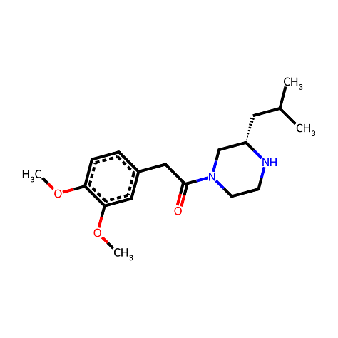 COc1ccc(CC(=O)N2CCN[C@@H](CC(C)C)C2)cc1OC